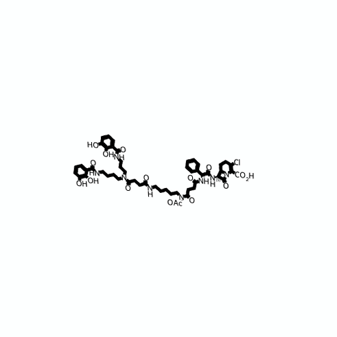 CC(=O)ON(CCCCCNC(=O)CCC(=O)N(CCCCNC(=O)c1cccc(O)c1O)CCCNC(=O)c1cccc(O)c1O)C(=O)CCC(=O)N[C@@H](C(=O)N[C@@H]1C(=O)N2C(C(=O)O)=C(Cl)CCC12)c1ccccc1